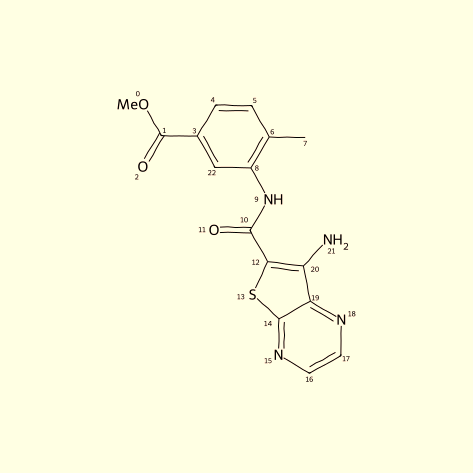 COC(=O)c1ccc(C)c(NC(=O)c2sc3nccnc3c2N)c1